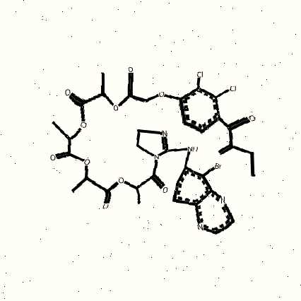 C=C(CC)C(=O)c1ccc(OCC(=O)OC(C)C(=O)OC(C)C(=O)OC(C)C(=O)OC(C)C(=O)N2CCN=C2Nc2ccc3nccnc3c2Br)c(Cl)c1Cl